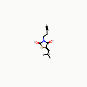 C#CCCN1C(=O)S/C(=C\C(C)C)C1=O